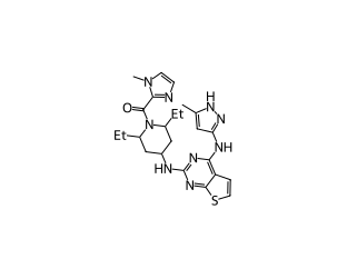 CCC1CC(Nc2nc(Nc3cc(C)[nH]n3)c3ccsc3n2)CC(CC)N1C(=O)c1nccn1C